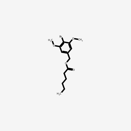 CCCCCC(=O)OCc1cc(OC)c(Br)c(OC)c1